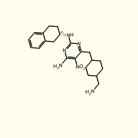 NCC1CCC(Cc2nc(N[C@H]3CCc4ccccc4C3)nc(N)c2[N+](=O)[O-])CC1